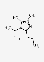 CCCc1nn(C)c(O)c1C(C)C